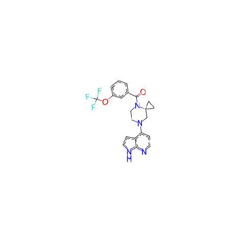 O=C(c1cccc(OC(F)(F)F)c1)N1CCN(c2ccnc3[nH]ccc23)CC12CC2